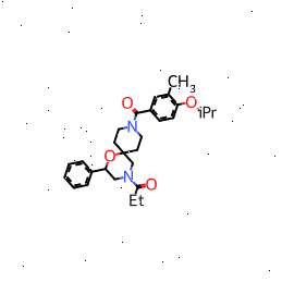 CCC(=O)N1CC(c2ccccc2)OC2(CCN(C(=O)c3ccc(OC(C)C)c(C)c3)CC2)C1